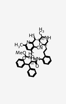 COC(=O)N[C@H](C(=O)Nc1ccccc1CC[C@@H]1CN[C@H](C)[C@@H](C(S)c2nc(C)cc(C)c2C#N)O1)C(c1ccccc1)c1ccccc1